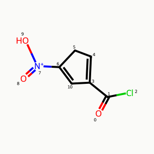 O=C(Cl)C1=CCC([N+](=O)O)=C1